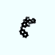 O=C(O)C(O)(Cn1cncn1)c1ccc(Oc2ccc3ccccc3c2)cc1Cl